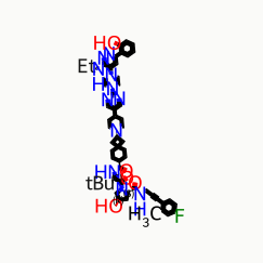 CCNc1nnc(-c2ccccc2O)cc1N1CCN(c2ncc(C3CCN([C@H]4CC5(CC[C@H](C(=O)N[C@H](C(=O)N6C[C@H](O)C[C@H]6C(=O)NCC#Cc6ccc(F)cc6C)C(C)(C)C)CC5)C4)CC3)cn2)CC1